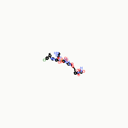 CC1(C)CCC(CN2CCN(c3ccc(C(=O)NS(=O)(=O)c4ccc(NCC5CCN(C(=O)COCCC#Cc6cccc7c6C(=O)N(C6CCC(=O)NC6=O)C7=O)CC5)c([N+](=O)[O-])c4)c(Oc4cnc5[nH]ccc5c4)c3)CC2)=C(c2ccc(Cl)cc2)C1